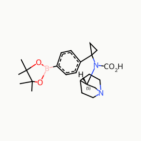 CC1(C)OB(c2ccc(C3(N(C(=O)O)[C@@H]4CN5CCC4CC5)CC3)cc2)OC1(C)C